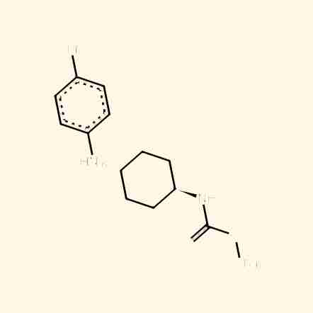 CC(C)(C)OC(=O)N[C@H]1CC[C@H](Nc2ccc(Br)cc2)CC1